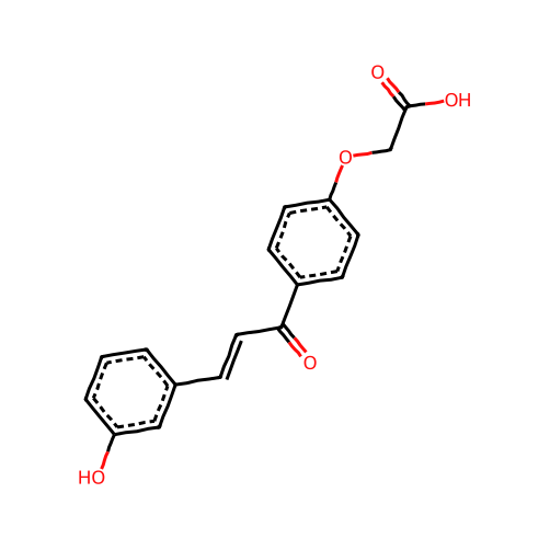 O=C(O)COc1ccc(C(=O)/C=C/c2cccc(O)c2)cc1